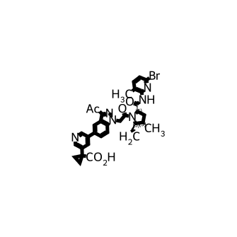 C=C[C@@H]1[C@@H](C)C[C@@H](C(=O)Nc2nc(Br)ccc2C)N1C(=O)Cn1nc(C(C)=O)c2cc(-c3cncc(C4(C(=O)O)CC4)c3)ccc21